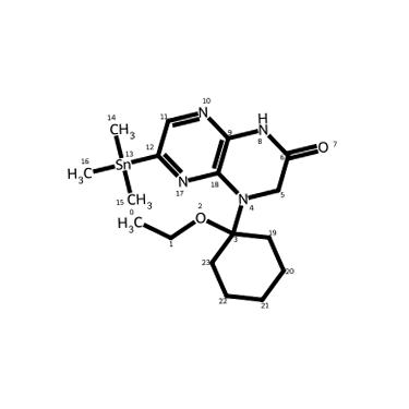 CCOC1(N2CC(=O)Nc3nc[c]([Sn]([CH3])([CH3])[CH3])nc32)CCCCC1